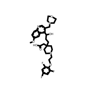 COc1ccc2ncc(CN3CCOCC3)c(C(O)CCC3(CC(=O)O)CCN(CCOc4c(F)cc(F)cc4F)CC3)c2c1